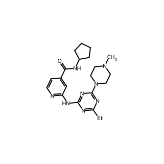 CCc1nc(Nc2cc(C(=O)NC3CCCC3)ccn2)nc(N2CCN(C)CC2)n1